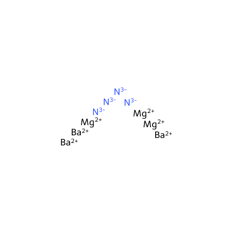 [Ba+2].[Ba+2].[Ba+2].[Mg+2].[Mg+2].[Mg+2].[N-3].[N-3].[N-3].[N-3]